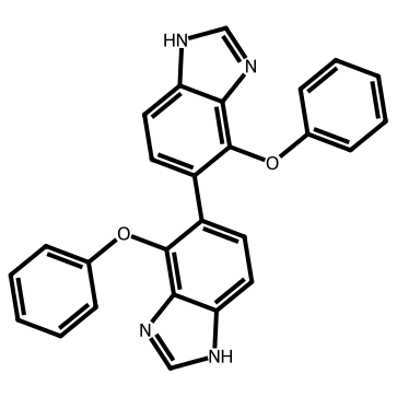 c1ccc(Oc2c(-c3ccc4[nH]cnc4c3Oc3ccccc3)ccc3[nH]cnc23)cc1